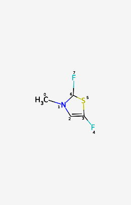 CN1C=C(F)SC1F